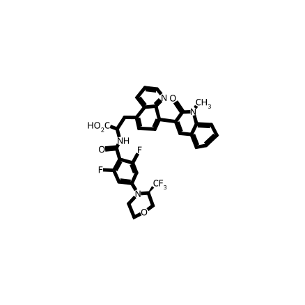 Cn1c(=O)c(-c2ccc(CC(NC(=O)c3c(F)cc(N4CCOC[C@@H]4C(F)(F)F)cc3F)C(=O)O)c3cccnc23)cc2ccccc21